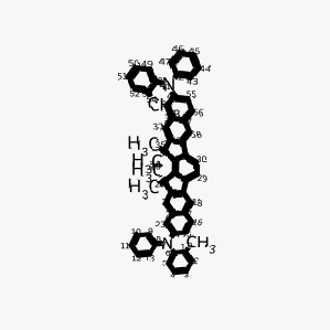 Cc1ccccc1N(c1ccccc1)c1ccc2cc3c(cc2c1)C(C)(C)c1c-3ccc2c1C(C)(C)c1cc3cc(N(c4ccccc4)c4ccccc4C)ccc3cc1-2